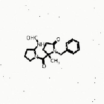 CC1(C(=O)N2CCCC2NC=O)CCC(=O)N1Cc1ccccc1